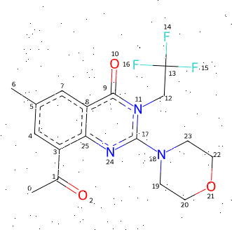 CC(=O)c1cc(C)cc2c(=O)n(CC(F)(F)F)c(N3CCOCC3)nc12